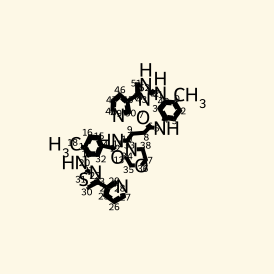 Cc1ccc(NC(=O)CCC(NC(=O)c2ccc(C)c(Nc3nc(-c4cccnc4)cs3)c2)N2CCOCC2)cc1Nc1nc(-c2cccnc2)c[nH]1